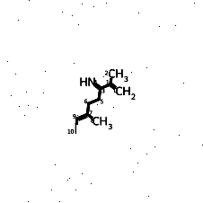 C=C(C)C(=N)CC/C(C)=C/I